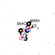 COc1ccc(Cn2c(OCC(F)(F)F)nc3sc(C4CCCN4C(=O)OCc4ccccc4)nc3c2=O)c(OC)c1